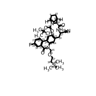 CC(C)(C)OC(=O)N1[C@@H]2CC[C@@H](C2)[C@H]1C(=O)NC(C#N)Cc1ccc2c3ccc(F)cc3c(=O)n(COCC[Si](C)(C)C)c2c1